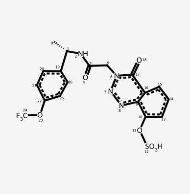 C[C@H](NC(=O)Cn1nnc2c(OS(=O)(=O)O)cccc2c1=O)c1ccc(OC(F)(F)F)cc1